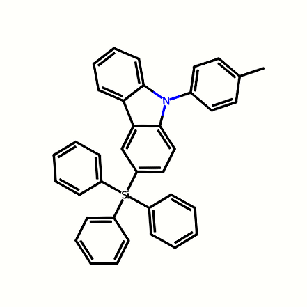 Cc1ccc(-n2c3ccccc3c3cc([Si](c4ccccc4)(c4ccccc4)c4ccccc4)ccc32)cc1